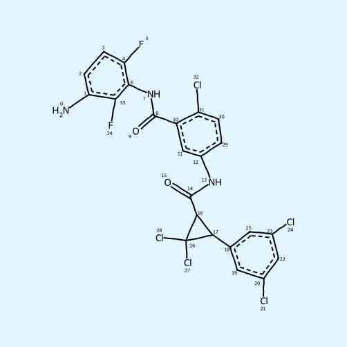 Nc1ccc(F)c(NC(=O)c2cc(NC(=O)C3C(c4cc(Cl)cc(Cl)c4)C3(Cl)Cl)ccc2Cl)c1F